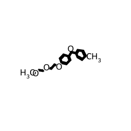 COCCOCCOc1ccc(C(=O)c2ccc(C)cc2)cc1